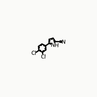 N#Cc1ccc(-c2ccc(Cl)c(Cl)c2)[nH]1